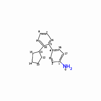 Nc1ccc(-c2ccccc2C2CCCC2)cc1